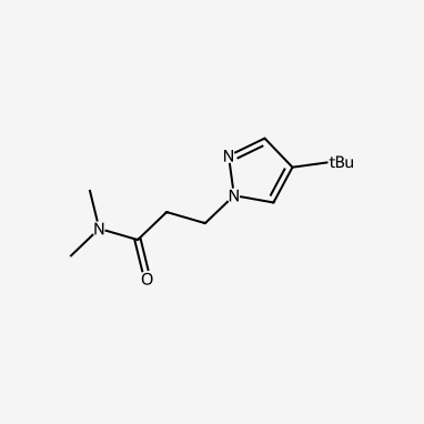 CN(C)C(=O)CCn1cc(C(C)(C)C)cn1